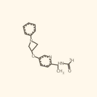 [3H]C(=O)NC(C)c1ccc(OC2CN(c3ccccc3)C2)cn1